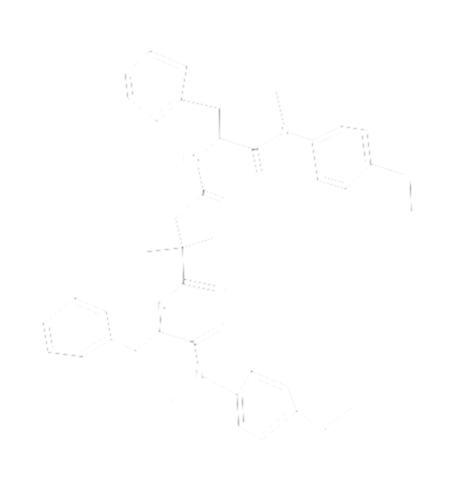 COc1ccc(N(C)C(=O)C(Cc2ccccc2)NC(=O)CC(C)(C)C(=O)NC(Cc2ccccc2)C(=O)N(C)c2ccc(OC)cc2)cc1